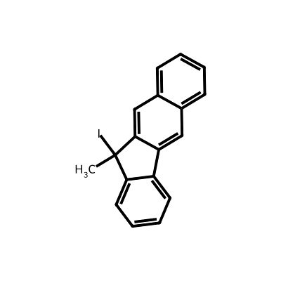 CC1(I)c2ccccc2-c2cc3ccccc3cc21